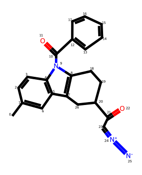 Cc1ccc2c(c1)c1c(n2C(=O)c2ccccc2)CCC(C(=O)C=[N+]=[N-])C1